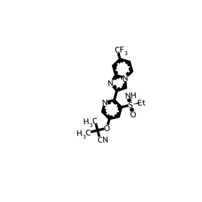 CC[S@](=N)(=O)c1cc(OC(C)(C)C#N)cnc1-c1cn2ccc(C(F)(F)F)cc2n1